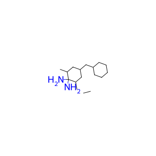 CC.CC1CC(CC2CCCCC2)CC(C)C1(N)N